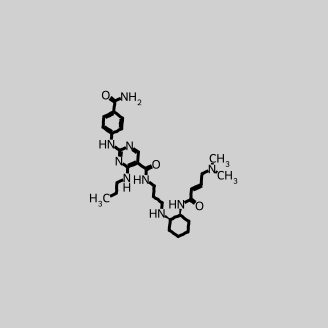 CCCNc1nc(Nc2ccc(C(N)=O)cc2)ncc1C(=O)NCCCN[C@@H]1CCCC[C@@H]1NC(=O)/C=C/CN(C)C